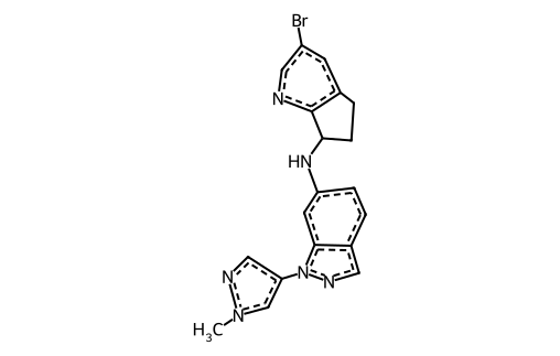 Cn1cc(-n2ncc3ccc(NC4CCc5cc(Br)cnc54)cc32)cn1